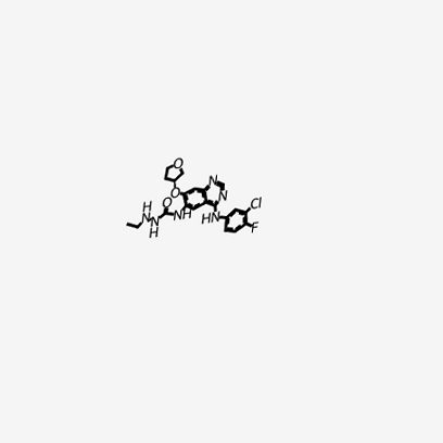 CCNNC(=O)Nc1cc2c(Nc3ccc(F)c(Cl)c3)ncnc2cc1O[C@H]1CCOC1